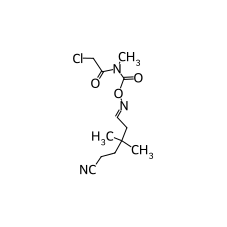 CN(C(=O)CCl)C(=O)ON=CCC(C)(C)CCC#N